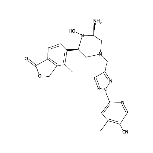 Cc1cc(-n2ncc(CN3C[C@H](N)N(O)[C@H](c4ccc5c(c4C)COC5=O)C3)n2)ncc1C#N